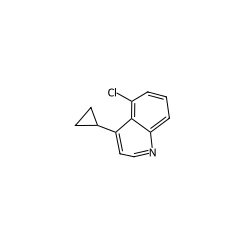 Clc1cccc2nccc(C3CC3)c12